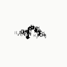 CC(C)(C)OC(=O)n1cc(Nc2cnc3ccc(N(COCC[Si](C)(C)C)c4nnc(C5CCC5)s4)nc3c2)cn1